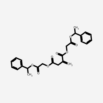 C=C(CC(=O)OCC(=O)OC(C)c1ccccc1)C(=O)OCC(=O)OC(C)c1ccccc1